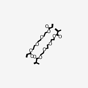 C=C(C)C(=O)OCCOCCOCCOC(=O)C(=C)C.C=CC(=O)OCCOCCOCCOC(=O)C=C